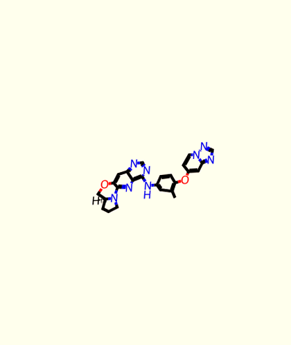 Cc1cc(Nc2ncnc3cc4c(nc23)N2CCC[C@H]2CO4)ccc1Oc1ccn2ncnc2c1